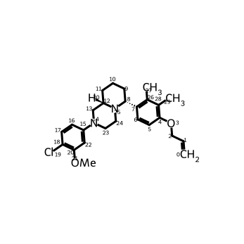 C=CCOc1ccc([C@H]2CCC[C@H]3CN(c4ccc(Cl)c(OC)c4)CCN32)c(C)c1C